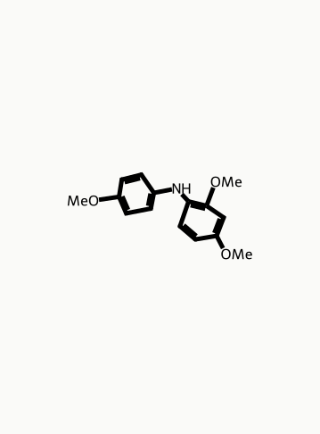 COc1ccc(Nc2ccc(OC)cc2OC)cc1